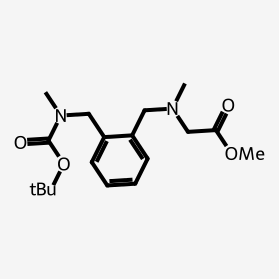 COC(=O)CN(C)Cc1ccccc1CN(C)C(=O)OC(C)(C)C